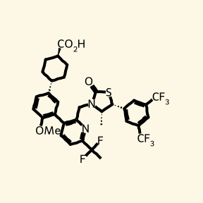 COc1ccc([C@H]2CC[C@H](C(=O)O)CC2)cc1-c1ccc(C(C)(F)F)nc1CN1C(=O)S[C@H](c2cc(C(F)(F)F)cc(C(F)(F)F)c2)[C@@H]1C